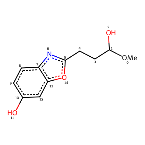 COC(O)CCc1nc2ccc(O)cc2o1